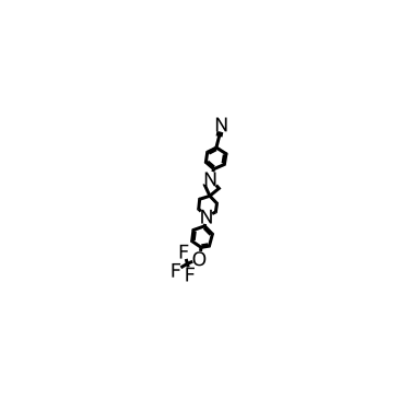 N#Cc1ccc(N2CC3(CCN(c4ccc(OC(F)(F)F)cc4)CC3)C2)cc1